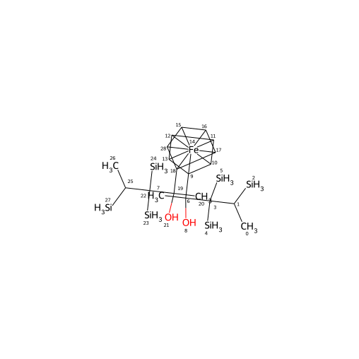 CC([SiH3])C([SiH3])([SiH3])C(C)(O)[C]12[CH]3[CH]4[CH]5[CH]1[Fe]45321678[CH]2[CH]1[CH]6[C]7(C(C)(O)C([SiH3])([SiH3])C(C)[SiH3])[CH]28